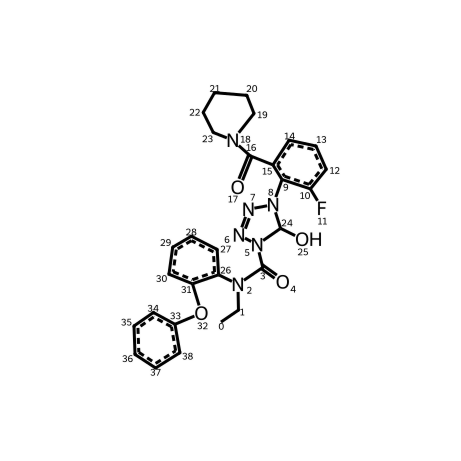 CCN(C(=O)N1N=NN(c2c(F)cccc2C(=O)N2CCCCC2)C1O)c1ccccc1Oc1ccccc1